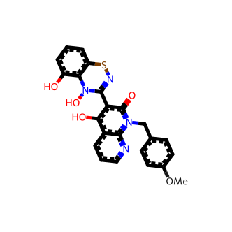 COc1ccc(Cn2c(=O)c(C3=NSc4cccc(O)c4N3O)c(O)c3cccnc32)cc1